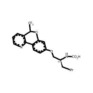 CC(C)C[C@@H](COc1ccc2c(c1)OC(C(F)(F)F)c1cccnc1-2)NC(=O)O